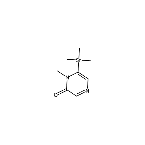 Cn1[c]([Sn]([CH3])([CH3])[CH3])cncc1=O